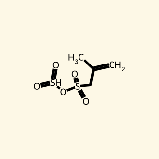 C=C(C)CS(=O)(=O)O[SH](=O)=O